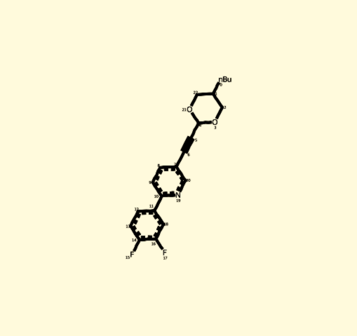 CCCCC1COC(C#Cc2ccc(-c3ccc(F)c(F)c3)nc2)OC1